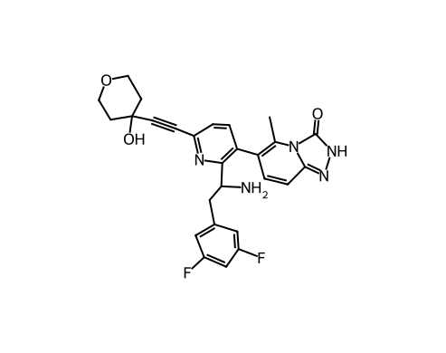 Cc1c(-c2ccc(C#CC3(O)CCOCC3)nc2C(N)Cc2cc(F)cc(F)c2)ccc2n[nH]c(=O)n12